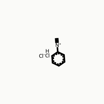 C#[N+]c1ccccc1.Cl.[Cl-]